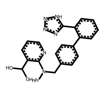 CCCN(Cc1ccc(-c2ccccc2-c2nnn[nH]2)cc1)c1ncccc1C(O)O